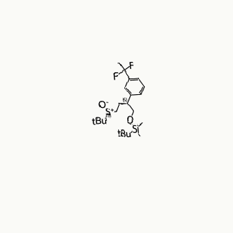 CC(F)(F)c1cccc([C@H](CC[S@@+]([O-])C(C)(C)C)CO[Si](C)(C)C(C)(C)C)c1